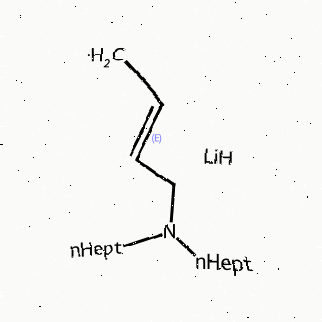 [CH2]/C=C/CN(CCCCCCC)CCCCCCC.[LiH]